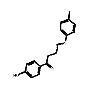 Cc1ccc(SCCCC(=O)c2ccc(O)cc2)cc1